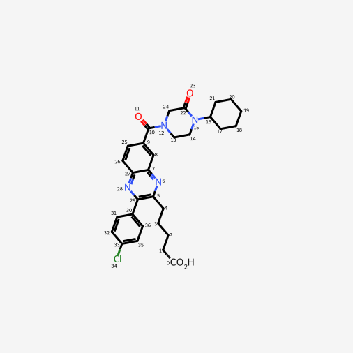 O=C(O)CCCCc1nc2cc(C(=O)N3CCN(C4CCCCC4)C(=O)C3)ccc2nc1-c1ccc(Cl)cc1